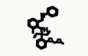 CCC(CC)(Pc1c(C)cccc1/C=N/c1ccccc1)c1ccccc1OCOC